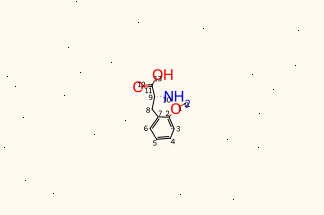 COc1ccccc1C[C@@H](N)C(=O)O